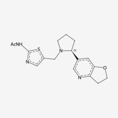 CC(=O)Nc1ncc(CN2CCC[C@H]2c2cnc3c(c2)OCC3)s1